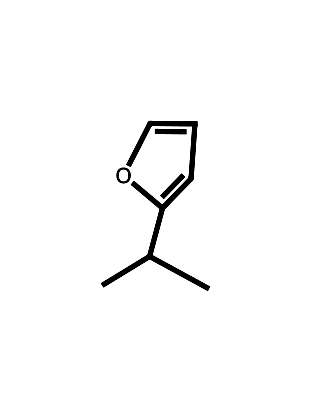 CC(C)c1ccco1